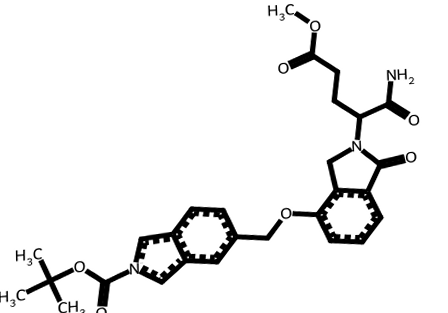 COC(=O)CCC(C(N)=O)N1Cc2c(OCc3ccc4cn(C(=O)OC(C)(C)C)cc4c3)cccc2C1=O